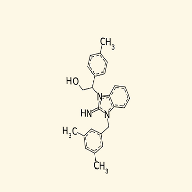 Cc1ccc(C(CO)n2c(=N)n(Cc3cc(C)cc(C)c3)c3ccccc32)cc1